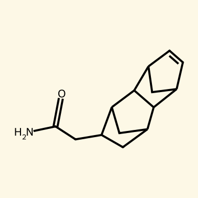 NC(=O)CC1CC2CC1C1C3C=CC(C3)C21